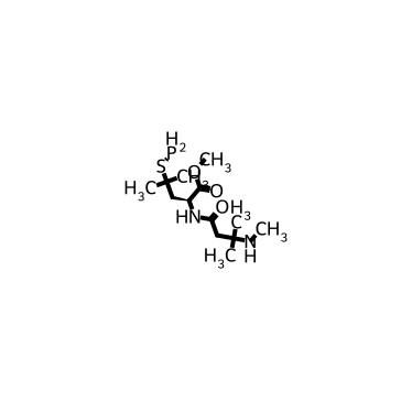 CNC(C)(C)CC(=O)N[C@@H](CC(C)(C)SP)C(=O)OC